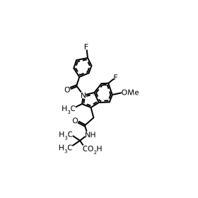 COc1cc2c(CC(=O)NC(C)(C)C(=O)O)c(C)n(C(=O)c3ccc(F)cc3)c2cc1F